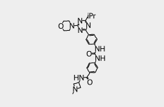 CC(C)c1nc(-c2ccc(NC(=O)Nc3ccc(C(=O)NC4CN(C)C4)cc3)cc2)nc(N2CCOCC2)n1